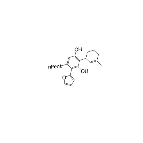 CCCCCc1cc(O)c(C2C=C(C)CCC2)c(O)c1-c1ccco1